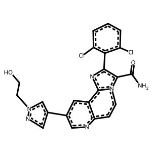 NC(=O)c1c(-c2c(Cl)cccc2Cl)nc2c3cc(-c4cnn(CCO)c4)cnc3ccn12